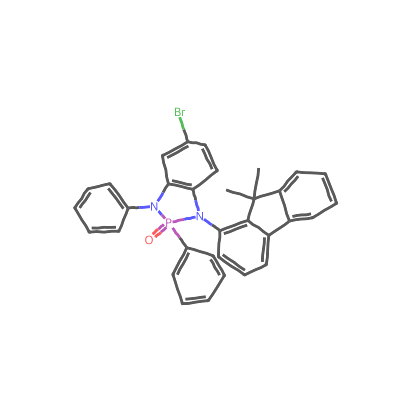 CC1(C)c2ccccc2-c2cccc(N3c4ccc(Br)cc4N(c4ccccc4)P3(=O)c3ccccc3)c21